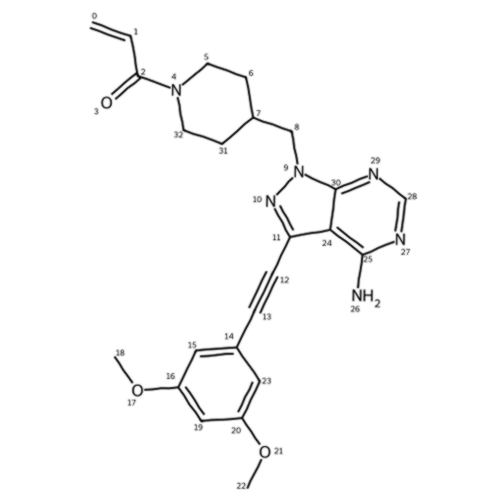 C=CC(=O)N1CCC(Cn2nc(C#Cc3cc(OC)cc(OC)c3)c3c(N)ncnc32)CC1